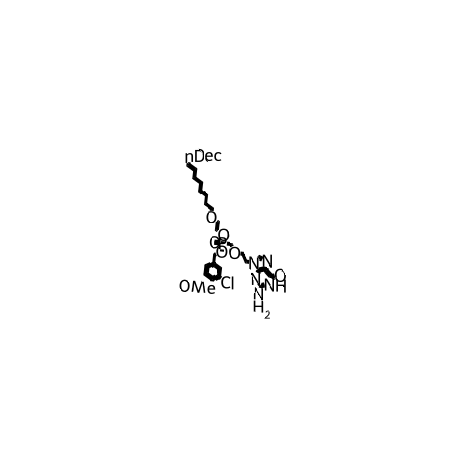 CCCCCCCCCCCCCCCCCCOCCOP(=O)(COCCn1cnc2c(=O)[nH]c(N)nc21)OCc1ccc(OC)c(Cl)c1